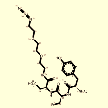 CC(=O)N[C@@H](Cc1ccc(O)cc1)C(=O)N[C@@H](CC(C)C)C(=O)N[C@@H](CC(=O)O)C(=O)NCCOCCOCCN=[N+]=[N-]